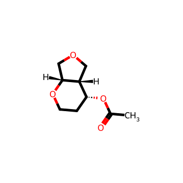 CC(=O)O[C@@H]1CCO[C@@H]2COC[C@@H]21